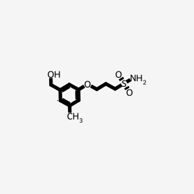 Cc1[c]c(CO)cc(OCCCS(N)(=O)=O)c1